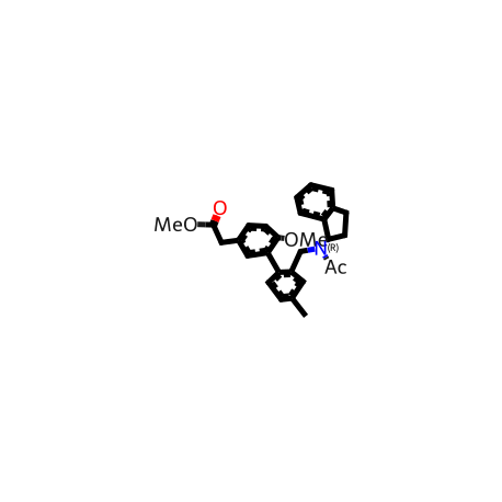 COC(=O)Cc1ccc(OC)c(-c2ccc(C)cc2CN(C(C)=O)[C@@H]2CCc3ccccc32)c1